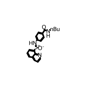 CCCCNC(=O)c1ccc(N[S+]([O-])c2cccc3cccnc23)cc1